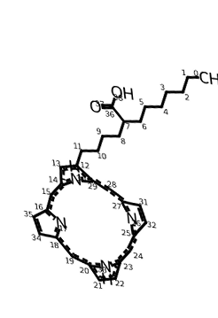 CCCCCCCC(CCCCc1cc2cc3nc(cc4ccc(cc5nc(cc1[nH]2)C=C5)[nH]4)C=C3)C(=O)O